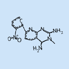 CN1C(N)=Nc2nc(-c3ccccc3[N+](=O)[O-])ccc2C1N